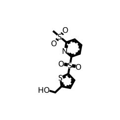 CS(=O)(=O)c1cccc(S(=O)(=O)c2ccc(CO)s2)n1